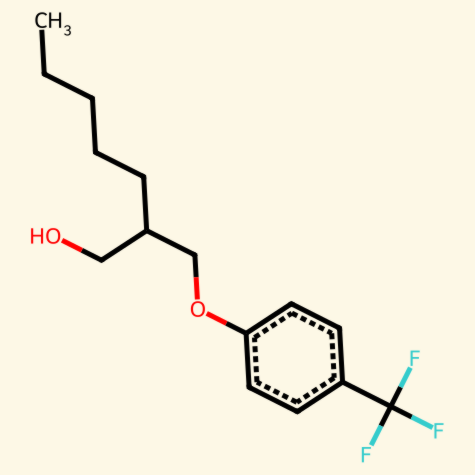 CCCCCC(CO)COc1ccc(C(F)(F)F)cc1